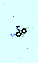 NC1=CC(Cl)(c2nccs2)C(Cl)(c2ccc(F)cc2)C=C1